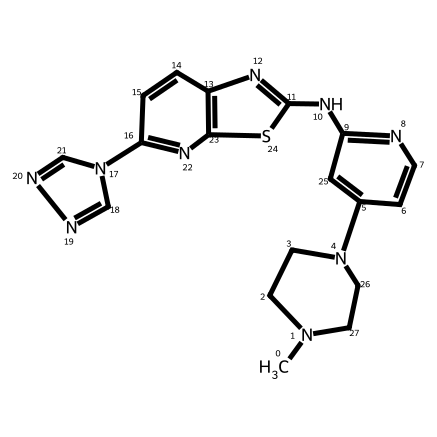 CN1CCN(c2ccnc(Nc3nc4ccc(-n5cnnc5)nc4s3)c2)CC1